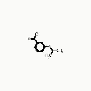 CC(C)Sc1cccc(C(=O)O)c1